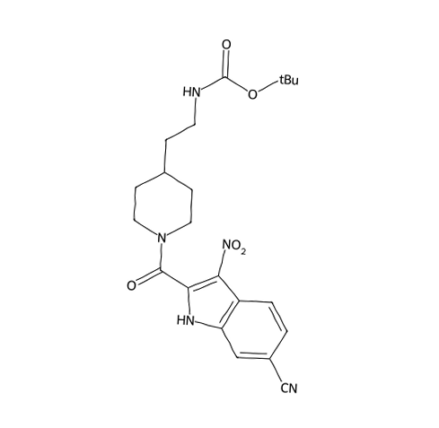 CC(C)(C)OC(=O)NCCC1CCN(C(=O)c2[nH]c3cc(C#N)ccc3c2[N+](=O)[O-])CC1